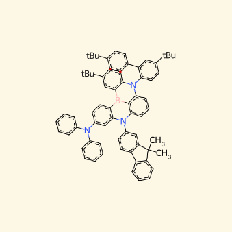 CC(C)(C)c1ccc(-c2cc(C(C)(C)C)ccc2N2c3ccc(C(C)(C)C)cc3B3c4ccc(N(c5ccccc5)c5ccccc5)cc4N(c4ccc5c(c4)C(C)(C)c4ccccc4-5)c4cccc2c43)cc1